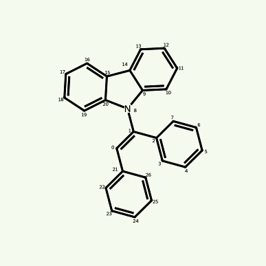 C(=C(c1ccccc1)n1c2ccccc2c2ccccc21)c1ccccc1